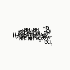 C#[N+]c1cc(C(Cl)(Cl)Cl)cnc1N(Cc1ccc(O)cc1)C(O)C(=O)NC(C(=O)NC(NC(=N)N)C(=O)NC(NC(=N)N)C(=O)NC(NC(=N)N)C(=O)NC(NC(=N)N)C(N)=O)c1ccccc1